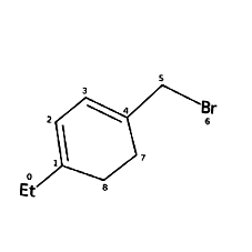 CCC1=CC=C(CBr)CC1